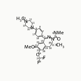 CNC(=O)N1N=C(c2ccc(N3CCN(C)CC3)cc2)c2cc(OC)c(OC(F)F)cc2C[C@H]1C